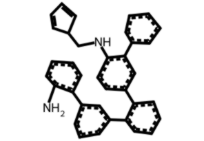 Nc1ccccc1-c1cccc(-c2ccccc2-c2ccc(NCC3C=CC=C3)c(-c3ccccc3)c2)c1